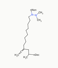 C=C=C(CCCCCCCCCN(CCCCCCCCC)N(C)C)CC(C)CCCCCCCCCC